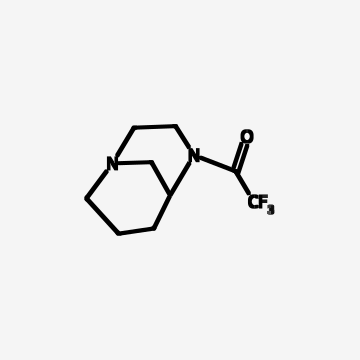 O=C(N1CCN2CCCC1C2)C(F)(F)F